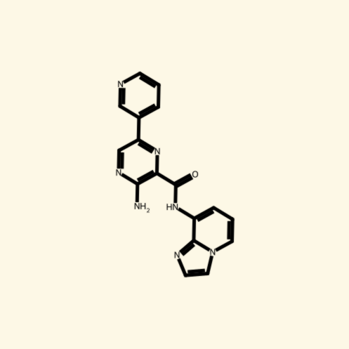 Nc1ncc(-c2cccnc2)nc1C(=O)Nc1cccn2ccnc12